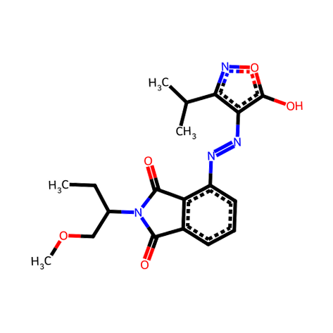 CCC(COC)N1C(=O)c2cccc(N=Nc3c(C(C)C)noc3O)c2C1=O